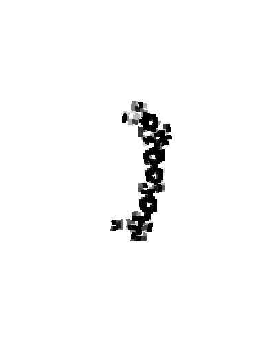 CC(C)(C)[C@@H](C=O)NC(=O)Cc1ccc(C(=O)Nc2ccc(-c3ccc(N4C(=S)N(c5ccc(C#N)c(C(F)(F)F)c5F)C(=O)C4(C)C)cn3)cc2)cc1